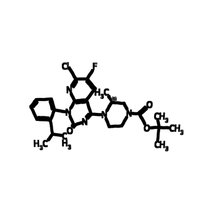 CC(C)c1ccccc1-n1c(=O)nc(N2CCN(C(=O)OC(C)(C)C)C[C@@H]2C)c2cc(F)c(Cl)nc21